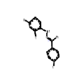 CC/C(=N\Nc1ccc(F)cc1F)c1ccc(F)cc1